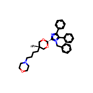 CCC[C@]1(CCCCN2CCOCC2)CO[C@@H](c2nc(-c3ccccc3)c(-c3ccccc3)n2Cc2ccccc2)OC1